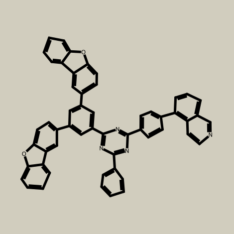 c1ccc(-c2nc(-c3ccc(-c4cccc5cnccc45)cc3)nc(-c3cc(-c4ccc5oc6ccccc6c5c4)cc(-c4ccc5oc6ccccc6c5c4)c3)n2)cc1